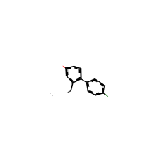 COCc1cc(O)ccc1-c1ccc(Cl)cc1